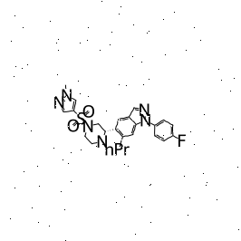 CCCN1CCN(S(=O)(=O)c2cnn(C)c2)C[C@@H]1c1cc2cnn(-c3ccc(F)cc3)c2cc1C